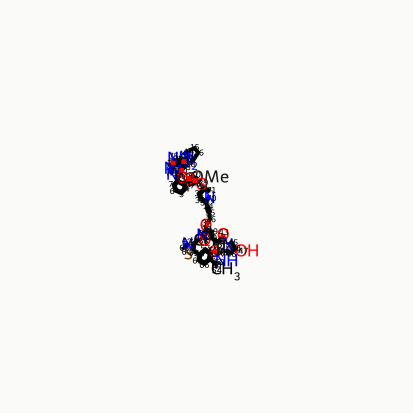 COCOc1ccccc1-c1cc(N2CC3CCC(C2)N3c2ccnc(O[C@H]3C[C@H](Oc4ccc(C#CCOc5cc(C(C(=O)N6C[C@H](O)C[C@H]6C(=O)N[C@@H](C)c6ccc(-c7scnc7C)cc6)C(C)C)on5)nc4)C3)c2)c(N)nn1